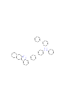 Cn1c2cc3ccccc3cc2c2cccc(-c3ccc(-c4ccc(N(c5ccccc5)c5cccc(-c6ccccc6)c5)cc4)cc3)c21